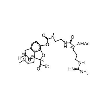 CCC(=O)[C@@H]1Oc2c(OC(=O)N(C)CCNC(=O)[C@@H](CCCNC(=N)N)NC(C)=O)ccc3c2[C@@]12CCN(C)[C@H](C3)N2C